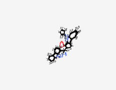 CC1(C)c2ccc3c4ccccc4n(C4=CCC=C4)c3c2Oc2ccc3c([nH]c4ccccc43)c21